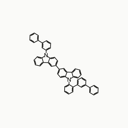 c1ccc(-c2cccc(-c3ccccc3-n3c4ccccc4c4cc(-c5ccc6c(c5)c5ccccc5n6-c5cccc(-c6ccccc6)c5)ccc43)c2)cc1